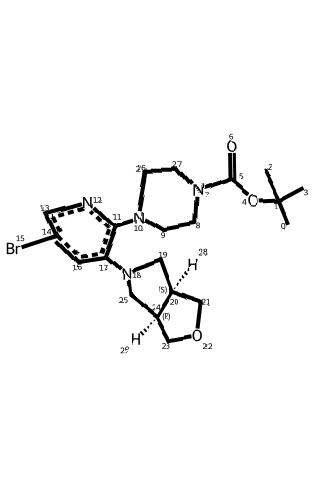 CC(C)(C)OC(=O)N1CCN(c2ncc(Br)cc2N2C[C@H]3COC[C@H]3C2)CC1